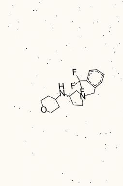 FC(F)(F)c1ccccc1CN1CCC(NC2CCOCC2)C1